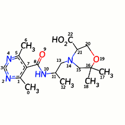 Cc1ncnc(C)c1C(=O)NC(C)CN1CC(C)(C)OCC1C(=O)O